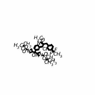 COc1nc2ccc(C(O)(C3CN(C(=O)OC(C)(C)C)C3)C3CN(C(=O)OC(C)(C)C)C3)cc2c(Cl)c1Cc1ccc(C(C)(F)F)cc1